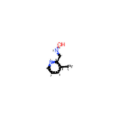 CC(C)c1cccnc1C=NO